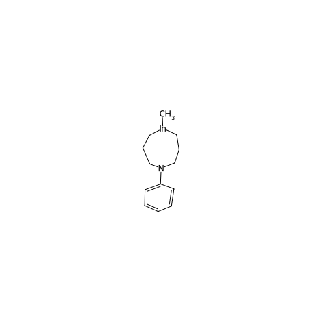 [CH3][In]1[CH2]CCN(c2ccccc2)CC[CH2]1